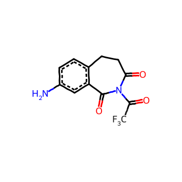 Nc1ccc2c(c1)C(=O)N(C(=O)C(F)(F)F)C(=O)CC2